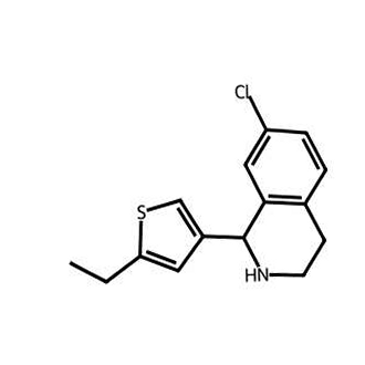 CCc1cc(C2NCCc3ccc(Cl)cc32)cs1